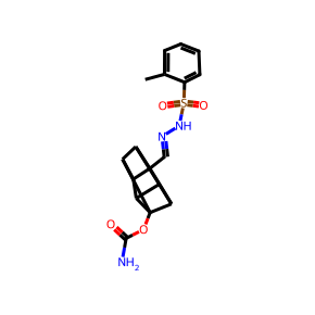 Cc1ccccc1S(=O)(=O)NN=CC12C3C4C1C1C2C3C41OC(N)=O